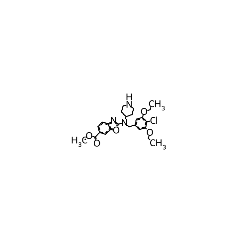 CCOc1cc(CN(c2nc3ccc(C(=O)OC)cc3o2)C2CCNCC2)cc(OCC)c1Cl